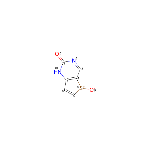 O=c1ncc2c(cc[s+]2[O-])[nH]1